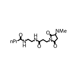 CCCC(=O)NCCNC(=O)CCN1C(=O)CC(NC)C1=O